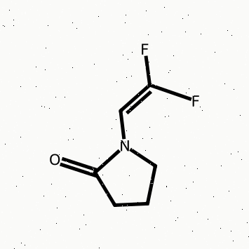 O=C1CCCN1C=C(F)F